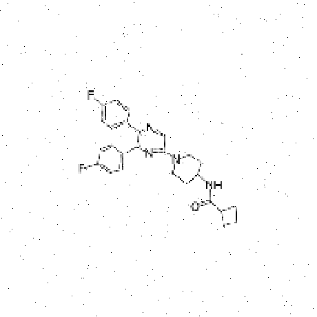 O=C(NC1CCN(c2cnc(-c3ccc(F)cc3)c(-c3ccc(F)cc3)n2)CC1)C1CCC1